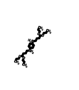 CCCOC(CCC[SiH2]c1ccc([SiH2]CCCC(OCCC)OCCC)cc1)OCCC